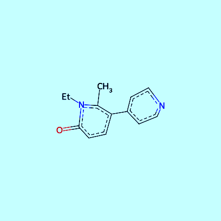 CCn1c(C)c(-c2ccncc2)ccc1=O